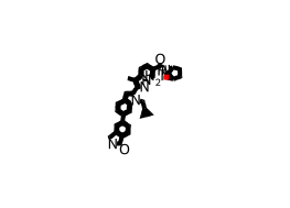 Cc1c(-c2cc3ccc(-c4ccc5c(c4)C=NC5=O)cc3n2CC2CC2)nn2cc(C(=O)N3CC4CCC3[C@@H]4N)ccc12